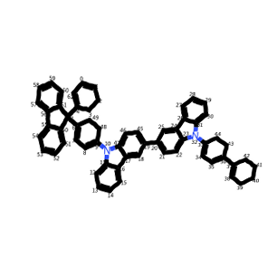 C1=CCCC(C2(C3=CC=C(n4c5ccccc5c5cc(-c6ccc7c(c6)c6ccccc6n7C6=CC=C(C7=CCCCC7)CC6)ccc54)CC3)c3ccccc3-c3ccccc32)=C1